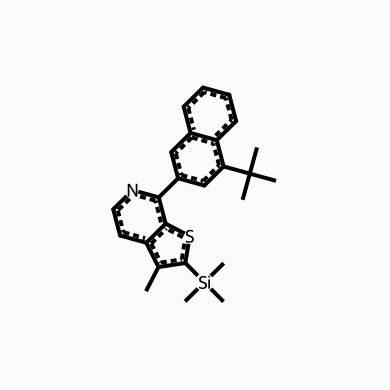 Cc1c([Si](C)(C)C)sc2c(-c3cc(C(C)(C)C)c4ccccc4c3)nccc12